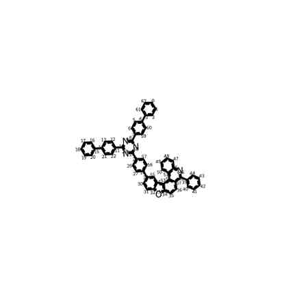 c1ccc(-c2ccc(-c3nc(-c4ccc(-c5ccccc5)cc4)nc(-c4ccc(-c5ccc6oc7ccc8c(-c9ccccc9)nc9ccccc9c8c7c6c5)cc4)n3)cc2)cc1